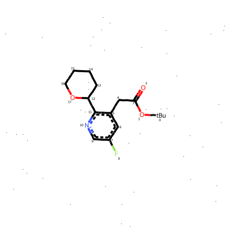 CC(C)(C)OC(=O)Cc1cc(F)cnc1C1CCCCO1